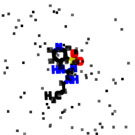 C=CCNC1=NS(=O)(=O)c2cnccc2N1